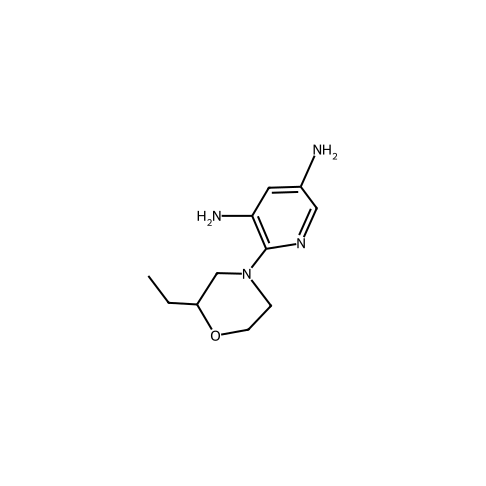 CCC1CN(c2ncc(N)cc2N)CCO1